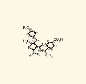 CC(NC(=O)c1c(C(F)F)nn(C)c1Cc1ccc(C(F)(F)F)cc1)c1ccc(C(=O)O)cc1